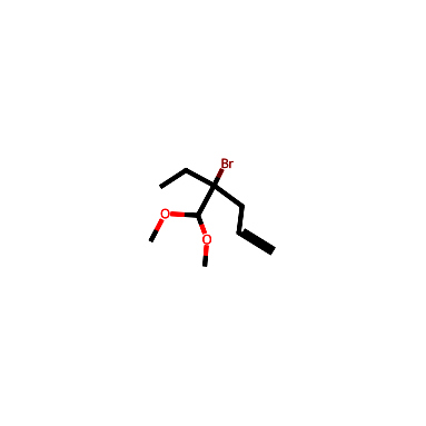 C=CCC(Br)(CC)C(OC)OC